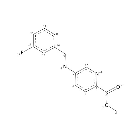 COC(=O)c1ccc(N=Cc2cccc(F)c2)cn1